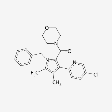 Cc1c(-c2ccc(Cl)cn2)c(C(=O)N2CCOCC2)n(Cc2ccccc2)c1C(F)(F)F